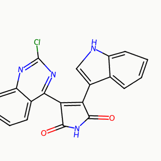 O=C1NC(=O)C(c2c[nH]c3ccccc23)=C1c1nc(Cl)nc2ccccc12